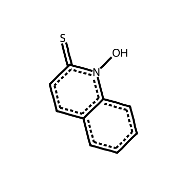 On1c(=S)ccc2ccccc21